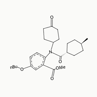 CCCCOc1ccc(N(C(=O)[C@H]2CC[C@H](C)CC2)C2CCC(=O)CC2)c(C(=O)OC)c1